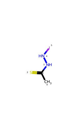 CC(=S)NNI